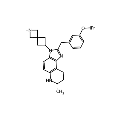 CC(C)Oc1cccc(Cc2nc3c4c(ccc3n2C2CC3(CNC3)C2)N[C@@H](C)CC4)c1